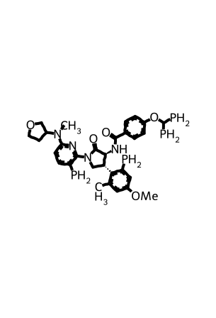 COc1cc(C)c([C@@H]2CN(c3nc(N(C)C4CCOC4)ccc3P)C(=O)[C@H]2NC(=O)c2ccc(OC(P)P)cc2)c(P)c1